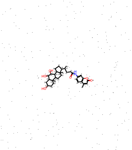 Cc1cc(=O)oc2cc(NC(=O)CCC(C)C3CCC4C5C(O)C(O)C6CC(O)CCC6(C)C5CCC34C)ccc12